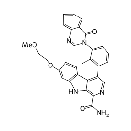 COCCOc1ccc2c(c1)[nH]c1c(C(N)=O)ncc(-c3cccc(-n4cnc5ccccc5c4=O)c3C)c12